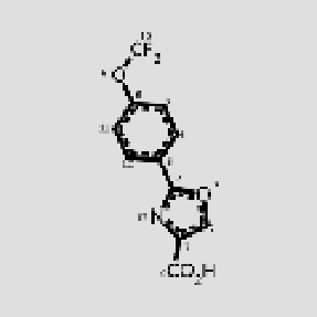 O=C(O)c1coc(-c2ccc(OC(F)(F)F)cc2)n1